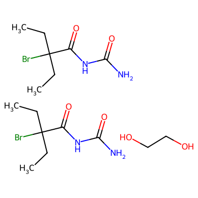 CCC(Br)(CC)C(=O)NC(N)=O.CCC(Br)(CC)C(=O)NC(N)=O.OCCO